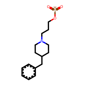 O=[SH](=O)OCCCN1CCC(Cc2ccccc2)CC1